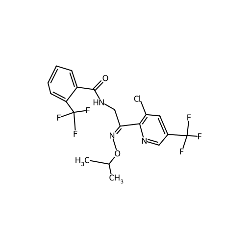 CC(C)ON=C(CNC(=O)c1ccccc1C(F)(F)F)c1ncc(C(F)(F)F)cc1Cl